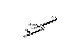 CCCCCCCC/C=C\CCCCCCCC(OCC(CCCCCCCC)SCCCCC)O[Si](C)(C)OCCCCCCN(CCO)CCO